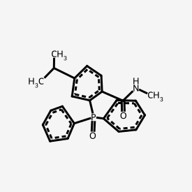 CNC(=O)c1ccc(C(C)C)cc1P(=O)(c1ccccc1)c1ccccc1